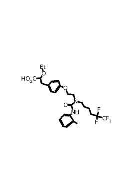 CCOC(Cc1ccc(OCCN(CCCCC(F)(F)C(F)(F)F)C(=O)Nc2ccccc2C)cc1)C(=O)O